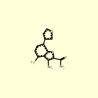 NC(=O)c1sc2c(-c3ccoc3)ccc(C(F)(F)F)c2c1N